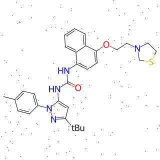 Cc1ccc(-n2nc(C(C)(C)C)cc2NC(=O)Nc2ccc(OCCN3CCSC3)c3ccccc23)cc1